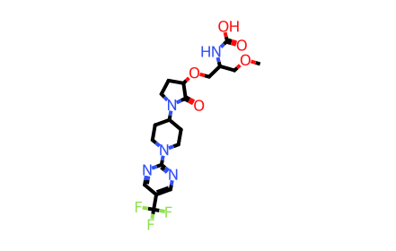 COCC(COC1CCN(C2CCN(c3ncc(C(F)(F)F)cn3)CC2)C1=O)NC(=O)O